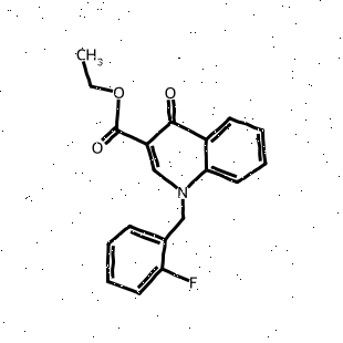 CCOC(=O)c1cn(Cc2ccccc2F)c2ccccc2c1=O